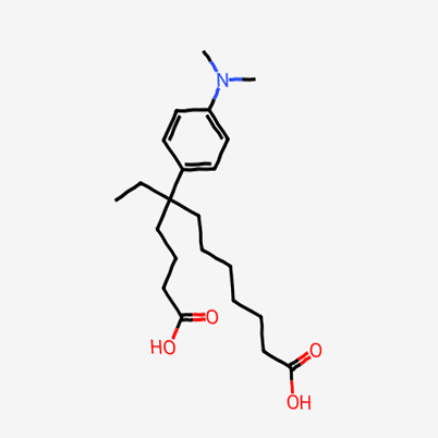 CCC(CCCCCCC(=O)O)(CCCC(=O)O)c1ccc(N(C)C)cc1